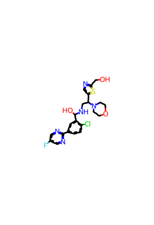 OCc1ncc(C(CNC(O)c2cc(-c3ncc(F)cn3)ccc2Cl)N2CCOCC2)s1